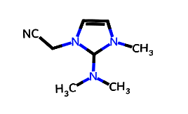 CN(C)C1N(C)C=CN1CC#N